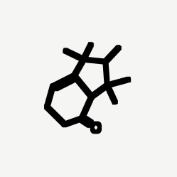 CC1C(C)(C)C2=CCCC(=O)C2C1(C)C